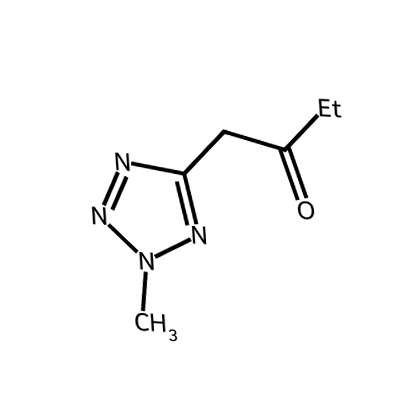 CCC(=O)Cc1nnn(C)n1